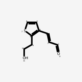 O=CC=Cc1ccsc1CCO